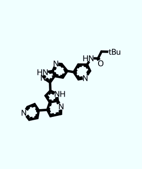 CC(C)(C)CC(=O)Nc1cncc(-c2cnc3[nH]nc(-c4cc5c(-c6ccncc6)ccnc5[nH]4)c3c2)c1